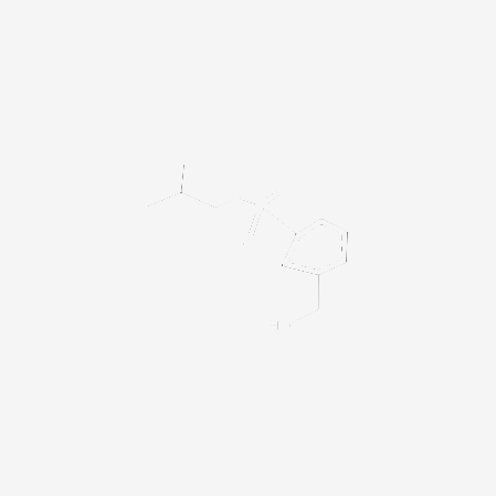 CC(C)COS(=O)(=O)c1cccc(CO)c1